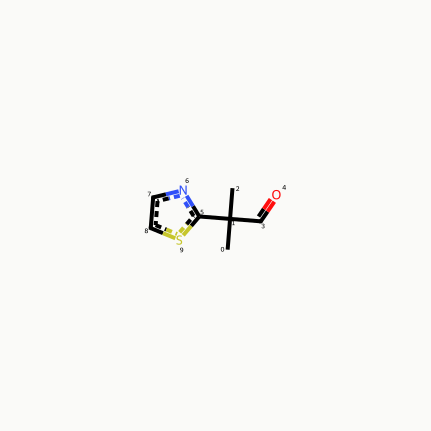 CC(C)(C=O)c1nccs1